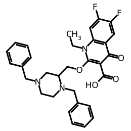 CCn1c(OCC2CN(Cc3ccccc3)CCN2Cc2ccccc2)c(C(=O)O)c(=O)c2cc(F)c(F)cc21